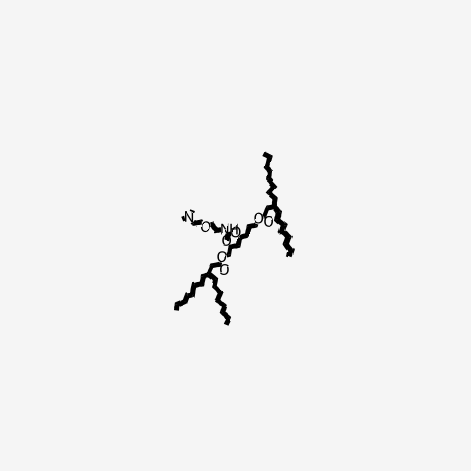 CCCCCCCCC(CCCCCCCC)CC(=O)OCCCC(CCCOC(=O)CC(CCCCCCCC)CCCCCCCC)OC(=O)NCCOCCN(C)C